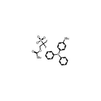 CC(C)(C)C(=O)OCC(F)(F)S(=O)(=O)[O-].CC(C)(C)c1ccc([S+](c2ccccc2)c2ccccc2)cc1